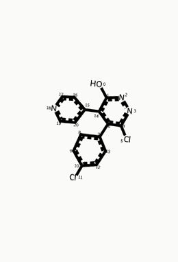 Oc1nnc(Cl)c(-c2ccc(Cl)cc2)c1-c1ccncc1